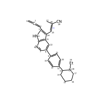 C=C=Cc1[nH]c2ncc(-c3ccc(C4CCCCN4CC)cc3)cc2c1/C=C(\C)C#N